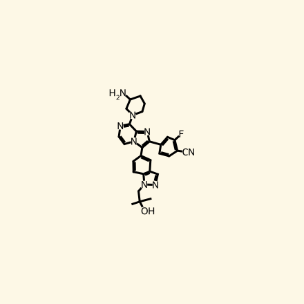 CC(C)(O)Cn1ncc2cc(-c3c(-c4ccc(C#N)c(F)c4)nc4c(N5CCCC(N)C5)nccn34)ccc21